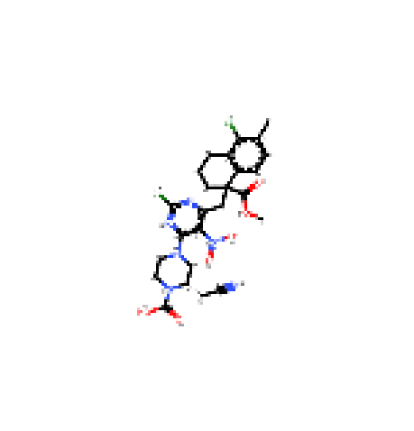 COC(=O)C1(Cc2nc(Cl)nc(N3CCN(C(=O)O)[C@@H](CC#N)C3)c2[N+](=O)[O-])CCCc2c1ccc(C)c2Cl